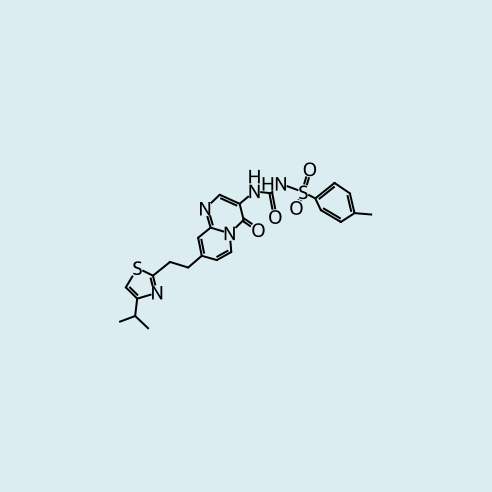 Cc1ccc(S(=O)(=O)NC(=O)Nc2cnc3cc(CCc4nc(C(C)C)cs4)ccn3c2=O)cc1